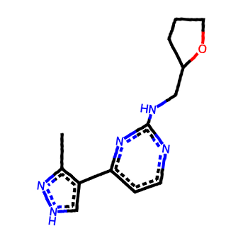 Cc1n[nH]cc1-c1ccnc(NCC2CCCO2)n1